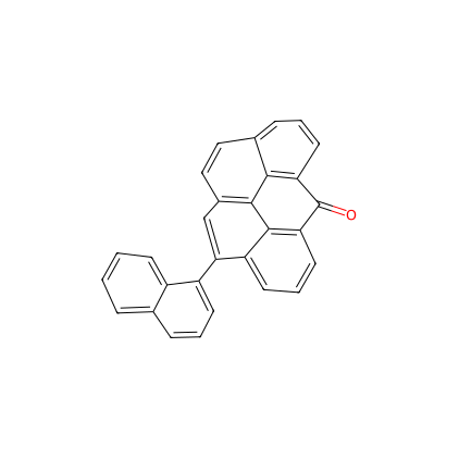 O=C1c2cccc3ccc4cc(-c5cccc6ccccc56)c5cccc1c5c4c23